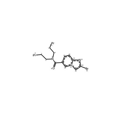 CC(C)CCN(CCC(C)C)C(=O)c1ccc2nc(Br)cn2c1